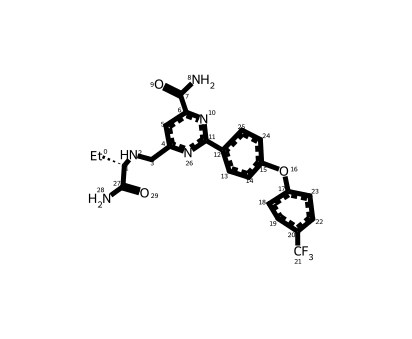 CC[C@H](NCc1cc(C(N)=O)nc(-c2ccc(Oc3ccc(C(F)(F)F)cc3)cc2)n1)C(N)=O